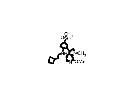 COc1nccc2c(-c3cc(S(C)(=O)=O)ccc3NCCC3CCCC3)cn(C)c12